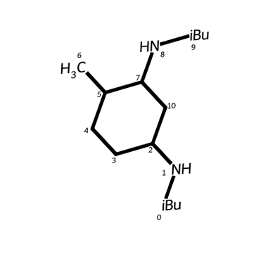 CCC(C)NC1CCC(C)C(NC(C)CC)C1